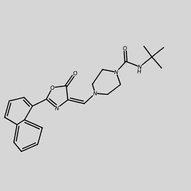 CC(C)(C)NC(=O)N1CCN(/C=C2/N=C(c3cccc4ccccc34)OC2=O)CC1